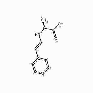 C[C@H](N/C=C/c1ccccc1)C(=O)O